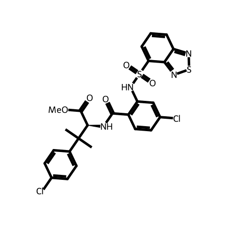 COC(=O)[C@@H](NC(=O)c1ccc(Cl)cc1NS(=O)(=O)c1cccc2nsnc12)C(C)(C)c1ccc(Cl)cc1